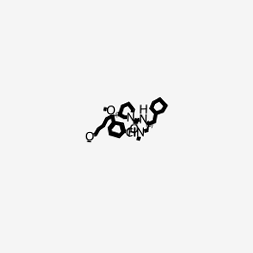 CNC[C@H](CC1CCCCC1)NC(=O)N1CCC[C@@H](C(CCCCOC)(OC)c2cccc(Cl)c2)C1